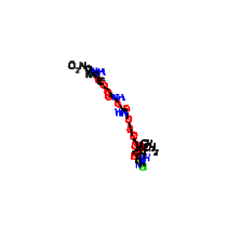 CC1(C)O[C@@H]2[C@@H](Nc3nc(Cl)ns3)[C@H]3OC[C@](COCCOCCOCCOCCNC(=O)CCOCCNC(=O)COCCOCCOCCNc4ccc([N+](=O)[O-])cc4[N+](=O)[O-])(O3)[C@@H]2O1